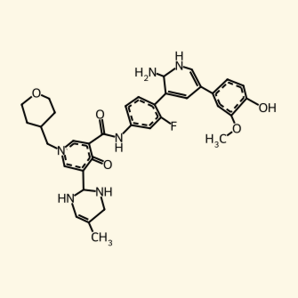 COc1cc(C2=CNC(N)C(c3ccc(NC(=O)c4cn(CC5CCOCC5)cc(C5NC=C(C)CN5)c4=O)cc3F)=C2)ccc1O